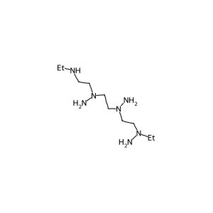 CCNCCN(N)CCN(N)CCN(N)CC